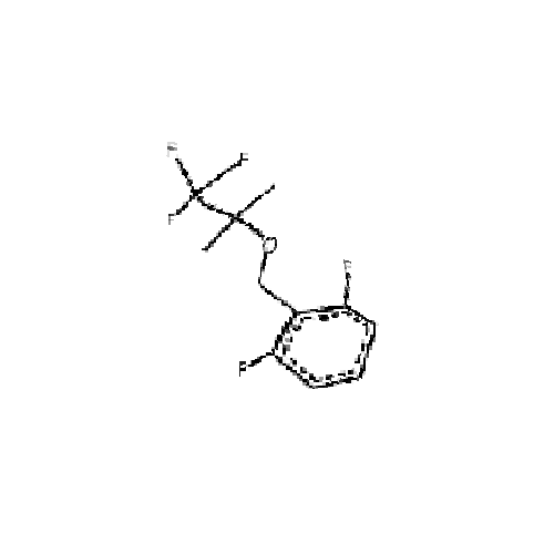 CC(C)(OCc1c(F)cccc1F)C(F)(F)F